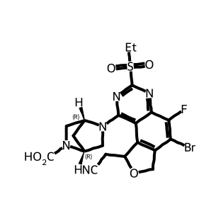 CCS(=O)(=O)c1nc(N2C[C@H]3C[C@@H]2CN3C(=O)O)c2c3c(c(Br)c(F)c2n1)COC3CC#N